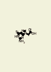 Nc1nc2c(ncn2CC(=O)O)c(=S)[nH]1